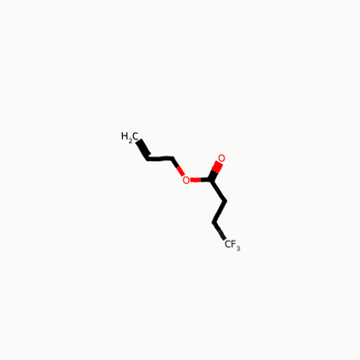 C=CCOC(=O)CCC(F)(F)F